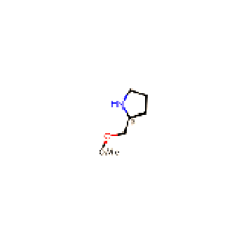 COOC[C@@H]1CCCN1